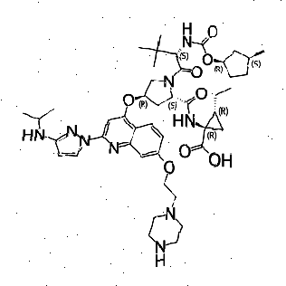 CC[C@@H]1C[C@]1(NC(=O)[C@@H]1C[C@@H](Oc2cc(-n3ccc(NC(C)C)n3)nc3cc(OCCN4CCNCC4)ccc23)CN1C(=O)[C@@H](NC(=O)O[C@@H]1CC[C@H](C)C1)C(C)(C)C)C(=O)O